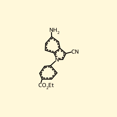 CCOC(=O)c1ccc(-n2cc(C#N)c3cc(N)ccc32)cc1